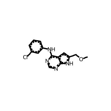 COCc1cc2c(Nc3cccc(Cl)c3)ncnc2[nH]1